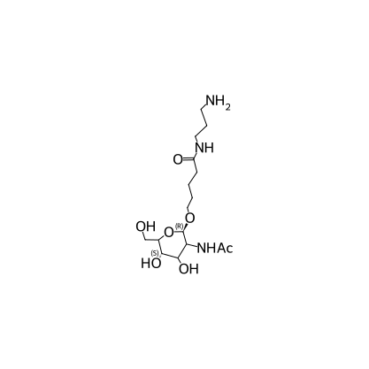 CC(=O)NC1C(O)[C@H](O)C(CO)O[C@H]1OCCCCC(=O)NCCCN